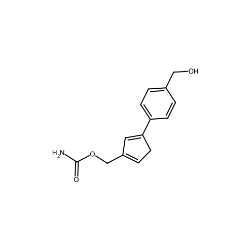 NC(=O)OCC1=CCC(c2ccc(CO)cc2)=C1